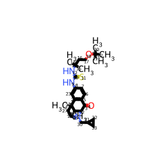 C[C@H]1C2C(=O)c3ccc(NC(=S)NC(C)(C)CCOC(C)(C)C)cc3[C@]1(C)CCN2CC1CC1